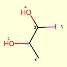 CC(O)C(O)I